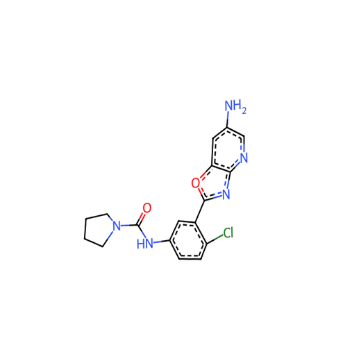 Nc1cnc2nc(-c3cc(NC(=O)N4CCCC4)ccc3Cl)oc2c1